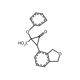 O=C(O)C1(Oc2ccccc2)C(=O)C1c1cccc2c1COC2